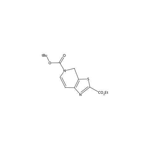 CCOC(=O)c1nc2c(s1)CN(C(=O)OC(C)(C)C)C=C2